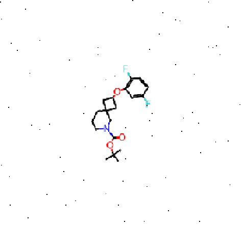 CC(C)(C)OC(=O)N1CCCC2(CC(Oc3cc(F)ccc3F)C2)C1